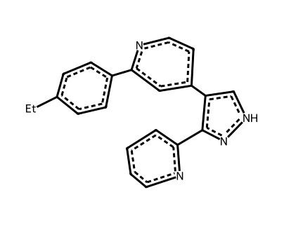 CCc1ccc(-c2cc(-c3c[nH]nc3-c3ccccn3)ccn2)cc1